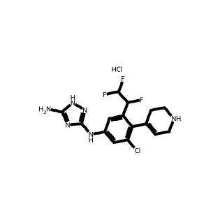 Cl.Nc1nc(Nc2cc(Cl)c(C3=CCNCC3)c(C(F)C(F)F)c2)n[nH]1